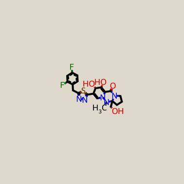 CN1N2C=C(c3nnc(Cc4ccc(F)cc4F)s3)C(O)C(O)=C2C(=O)N2CCCC21CO